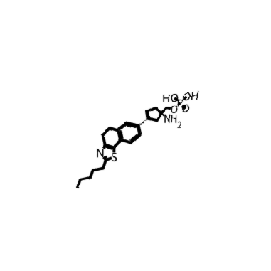 CCCCCc1nc2c(s1)-c1ccc([C@@H]3CC[C@](N)(COP(=O)(O)O)C3)cc1CC2